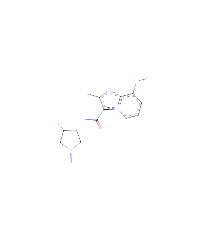 CCOc1cccn2c(C(=O)N[C@@H]3CN(C)CC3O)c(C)nc12